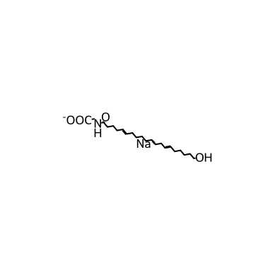 O=C([O-])CNC(=O)CCCC=CCCCCCCCC=CCCCCCO.[Na+]